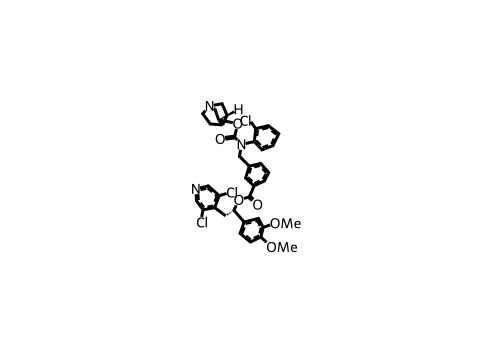 COc1ccc([C@H](Cc2c(Cl)cncc2Cl)OC(=O)c2cccc(CN(C(=O)O[C@H]3CN4CCC3CC4)c3ccccc3Cl)c2)cc1OC